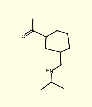 CC(=O)C1CCCC(CNC(C)C)C1